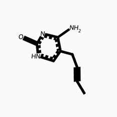 CC#CCc1c[nH]c(=O)nc1N